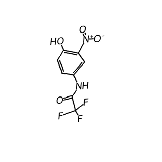 O=C(Nc1ccc(O)c([N+](=O)[O-])c1)C(F)(F)F